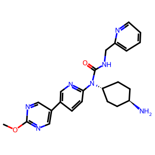 COc1ncc(-c2ccc(N(C(=O)NCc3ccccn3)[C@H]3CC[C@H](N)CC3)nc2)cn1